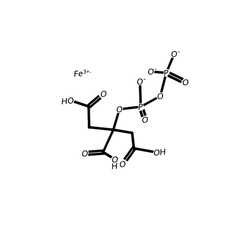 O=C(O)CC(CC(=O)O)(OP(=O)([O-])OP(=O)([O-])[O-])C(=O)O.[Fe+3]